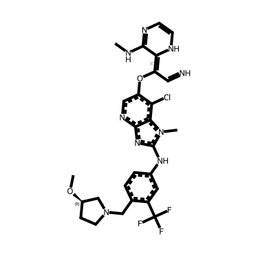 CNC1=NC=CN/C1=C(\C=N)Oc1cnc2nc(Nc3ccc(CN4CC[C@@H](OC)C4)c(C(F)(F)F)c3)n(C)c2c1Cl